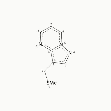 CSCc1cnn2cccnc12